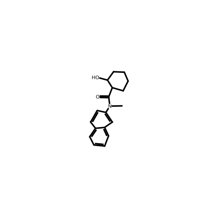 CN(C(=O)C1CCCCC1O)c1ccc2ccccc2c1